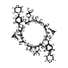 C[C@H]1OC(=O)[C@H](CC2CC2)N(C)C(=O)[C@@H](Cc2ccc(N3CCOCC3)cc2)OC(=O)[C@H](CC(C)(C)F)N(C)C(=O)[C@@H](C)OC(=O)[C@H](CC2CC2)N(C)C(=O)[C@@H](Cc2ccc(N3CCOCC3)cc2)OC(=O)[C@H](CCC(C)(C)F)N(C)C1=O